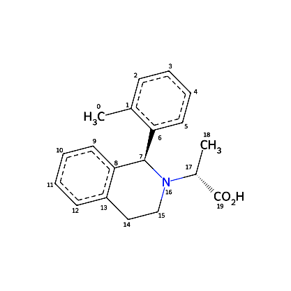 Cc1ccccc1[C@@H]1c2ccccc2CCN1[C@H](C)C(=O)O